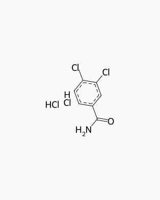 Cl.Cl.NC(=O)c1ccc(Cl)c(Cl)c1